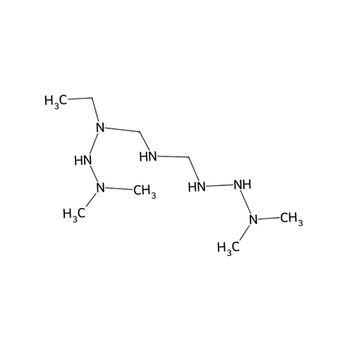 CCN(CNCNNN(C)C)NN(C)C